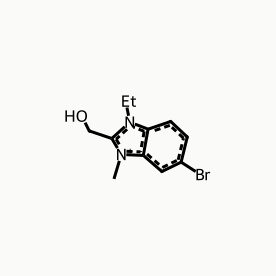 CCn1c(CO)[n+](C)c2cc(Br)ccc21